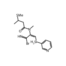 CSC(C)CC(=O)N(C)/C(=C/[SiH2]c1cccnc1)C(=N)Br